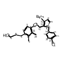 Cc1c(CCCO)ccc(OCc2c(Br)ccn2-c2ccc(Cl)cc2)c1C